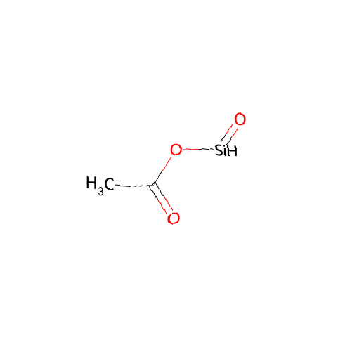 CC(=O)O[SiH]=O